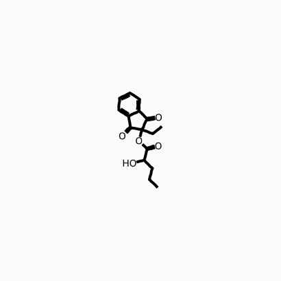 CCCC(O)C(=O)OC1(CC)C(=O)c2ccccc2C1=O